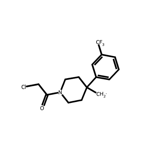 [CH2]C1(c2cccc(C(F)(F)F)c2)CCN(C(=O)CCl)CC1